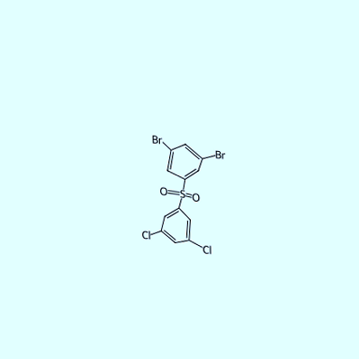 O=S(=O)(c1cc(Cl)cc(Cl)c1)c1cc(Br)cc(Br)c1